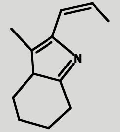 C/C=C\C1=C(C)C2CCCCC2=N1